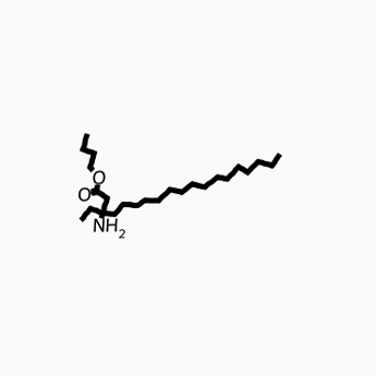 CCCCCCCCCCCCCCCCC(N)(CC)CC(=O)OCCCC